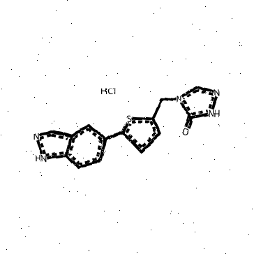 Cl.O=c1[nH]ncn1Cc1ccc(-c2ccc3[nH]ncc3c2)s1